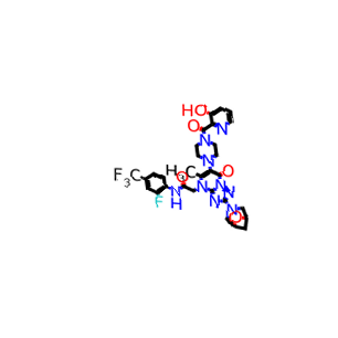 Cc1c(N2CCN(C(=O)c3ncccc3O)CC2)c(=O)n2nc(N3CC4CC(C3)O4)nc2n1CC(=O)Nc1ccc(C(F)(F)F)cc1F